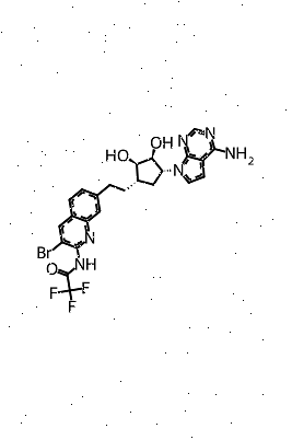 Nc1ncnc2c1ccn2[C@@H]1C[C@H](CCc2ccc3cc(Br)c(NC(=O)C(F)(F)F)nc3c2)[C@@H](O)[C@H]1O